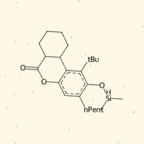 CCCCCc1cc2c(c(C(C)(C)C)c1O[SiH](C)C)C1CCCCC1C(=O)O2